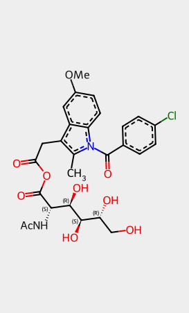 COc1ccc2c(c1)c(CC(=O)OC(=O)[C@@H](NC(C)=O)[C@@H](O)[C@H](O)[C@H](O)CO)c(C)n2C(=O)c1ccc(Cl)cc1